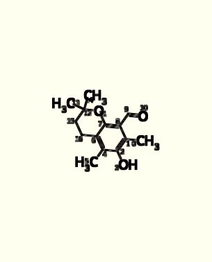 Cc1c(O)c(C)c2c(c1C=O)OC(C)(C)CC2